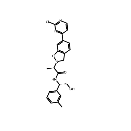 Cc1cccc([C@@H](CO)NC(=O)[C@@H](C)N2Cc3ccc(-c4ccnc(Cl)n4)cc3O2)c1